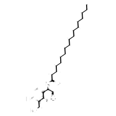 CCCCCCCCCCCCCCCCCC(=O)N[C@@H](C=O)[C@@H](O)[C@H](O)[C@H](O)CO